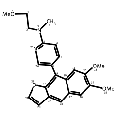 COCCN(C)c1ccc(-c2c3cc(OC)c(OC)cc3cc3ccoc23)cn1